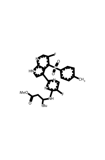 COC(=O)CC(Nc1nc(-c2c[nH]c3ncc(F)c(S(=O)(=O)c4ccc(C)cc4)c23)ncc1F)C(C)(C)C